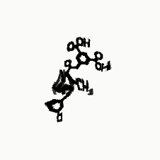 Cc1c(C(=O)Cc2cc(C(=O)O)cc(C(=O)O)c2)nnn1Cc1cccc(Cl)c1